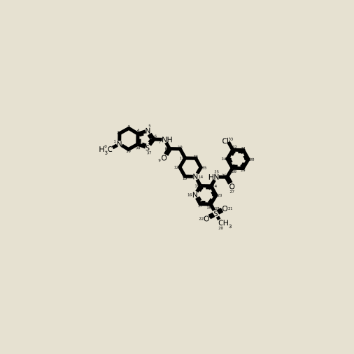 CN1CCc2nc(NC(=O)CC3CCN(c4ncc(S(C)(=O)=O)cc4NC(=O)c4cccc(Cl)c4)CC3)sc2C1